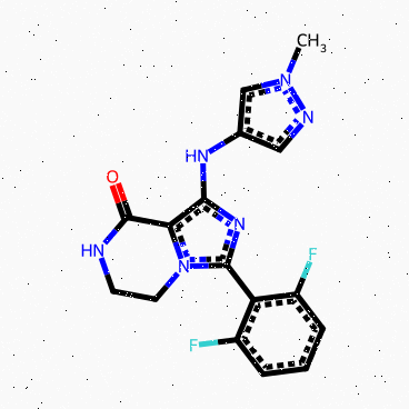 Cn1cc(Nc2nc(-c3c(F)cccc3F)n3c2C(=O)NCC3)cn1